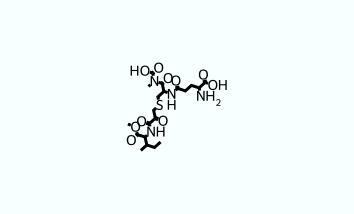 CCC(C)C(NC(=O)C(=O)CSCC(NC(=O)CCC(N)C(=O)O)C(=O)N(C)C(=O)O)C(=O)OC